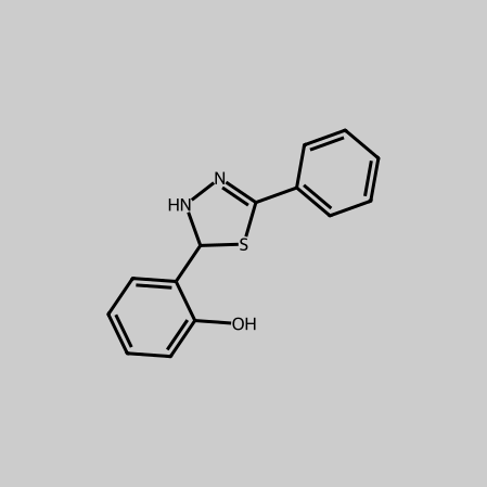 Oc1ccccc1C1NN=C(c2ccccc2)S1